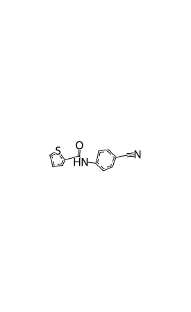 N#Cc1ccc(NC(=O)c2cccs2)cc1